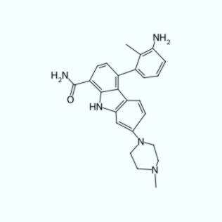 Cc1c(N)cccc1-c1ccc(C(N)=O)c2[nH]c3cc(N4CCN(C)CC4)ccc3c12